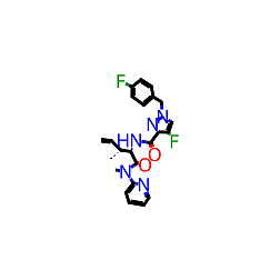 C=C[C@@H](C)[C@H](NC(=O)c1nn(Cc2ccc(F)cc2)cc1F)C(=O)N(C)c1ccccn1